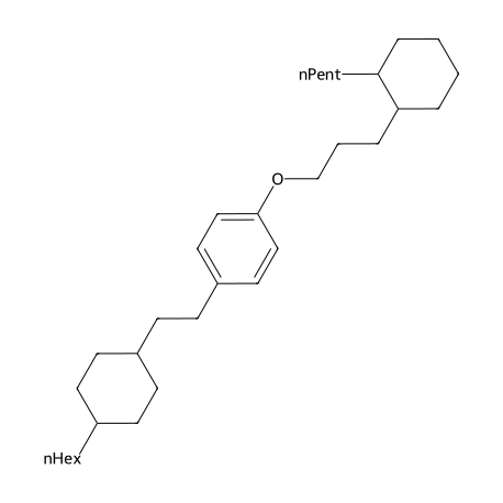 CCCCCCC1CCC(CCc2ccc(OCCCC3CCCCC3CCCCC)cc2)CC1